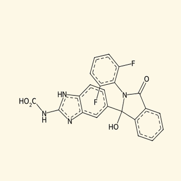 O=C(O)Nc1nc2cc(C3(O)c4ccccc4C(=O)N3c3c(F)cccc3F)ccc2[nH]1